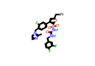 Cc1nccn1Cc1ccc(-c2cc(CC(C)C)sc2S(=O)(=O)NC(=O)NCc2ccc(F)c(F)c2)cc1F